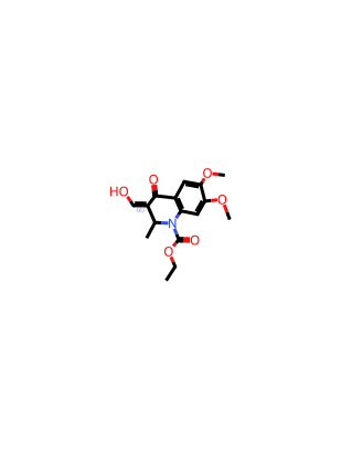 CCOC(=O)N1c2cc(OC)c(OC)cc2C(=O)/C(=C\O)C1C